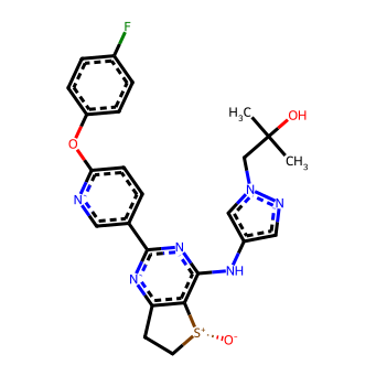 CC(C)(O)Cn1cc(Nc2nc(-c3ccc(Oc4ccc(F)cc4)nc3)nc3c2[S@+]([O-])CC3)cn1